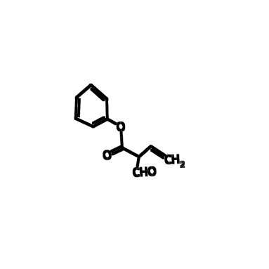 C=CC(C=O)C(=O)Oc1ccccc1